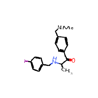 CNCc1ccc(C(=O)C(C)NCc2ccc(I)cc2)cc1